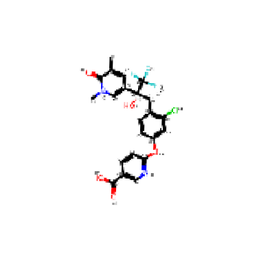 Cc1cc([C@](O)([C@H](C)c2ccc(Oc3ccc(C(=O)O)cn3)cc2Cl)C(F)(F)F)cn(C)c1=O